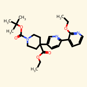 CCOC(=O)C1(c2ccc(-c3cccnc3OCC)nc2)CCN(C(=O)OC(C)(C)C)CC1